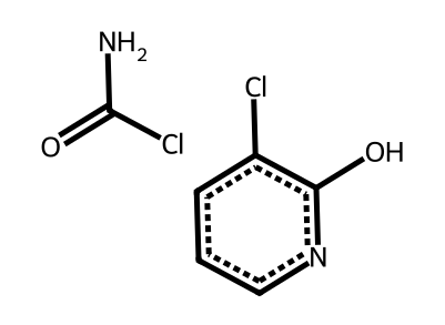 NC(=O)Cl.Oc1ncccc1Cl